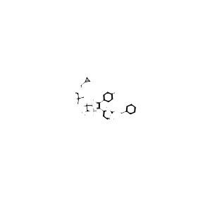 CC1(C(=O)OCC2CC2)COC(C(N)=O)(c2nc(-c3ccc(F)cc3)c(-c3ccnc(OCc4ccccc4)n3)[nH]2)OC1